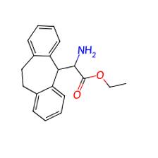 CCOC(=O)C(N)C1c2ccccc2CCc2ccccc21